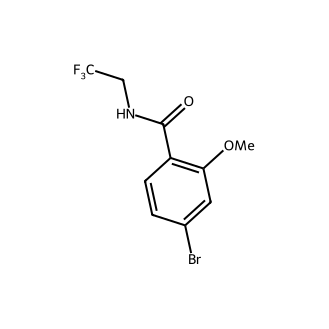 COc1cc(Br)ccc1C(=O)NCC(F)(F)F